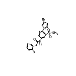 NS(=O)(=O)c1cc(NC(=O)Cc2ccccc2F)cnc1-n1cc(Br)cn1